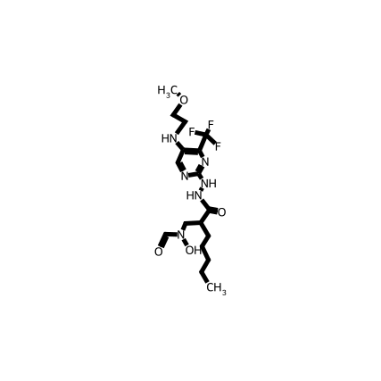 CCCCCC(CN(O)C=O)C(=O)NNc1ncc(NCCOC)c(C(F)(F)F)n1